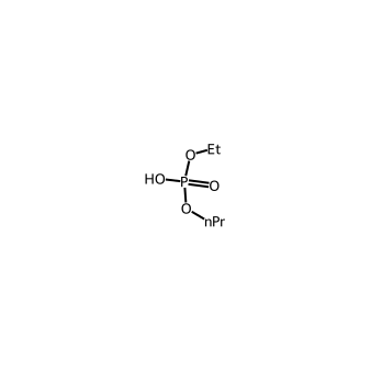 CCCOP(=O)(O)OCC